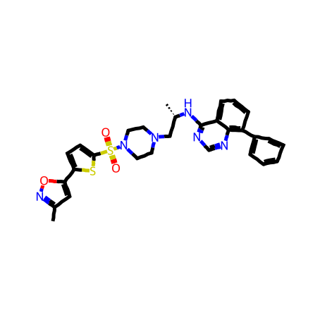 Cc1cc(-c2ccc(S(=O)(=O)N3CCN(C[C@H](C)Nc4ncnc5c(-c6ccccc6)cccc45)CC3)s2)on1